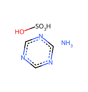 N.O=S(=O)(O)O.c1ncncn1